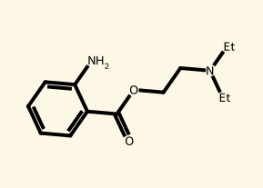 CCN(CC)CCOC(=O)c1ccccc1N